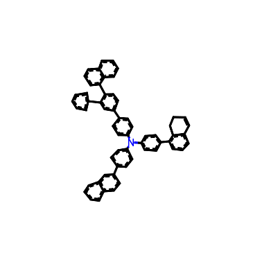 C1=Cc2cccc(-c3ccc(N(c4ccc(-c5ccc(-c6cccc7ccccc67)c(-c6ccccc6)c5)cc4)c4ccc(-c5ccc6ccccc6c5)cc4)cc3)c2CC1